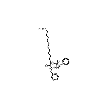 CCCCCCCCCCCCCCCCCCCCOC(=O)[C@H](Cc1ccccc1)NP(=O)(Cl)Oc1ccccc1